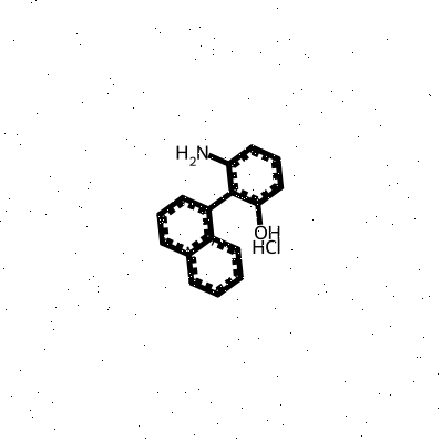 Cl.Nc1cccc(O)c1-c1cccc2ccccc12